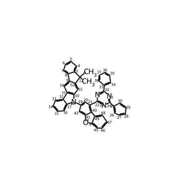 CC1(C)c2ccccc2-c2cc3c4ccccc4n(-c4cc(-c5nc(-c6ccccc6)nc(-c6ccccc6)n5)c5c(c4)oc4ccccc45)c3cc21